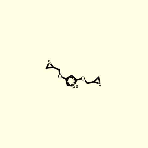 c1[se]c(OCC2CS2)cc1OCC1CS1